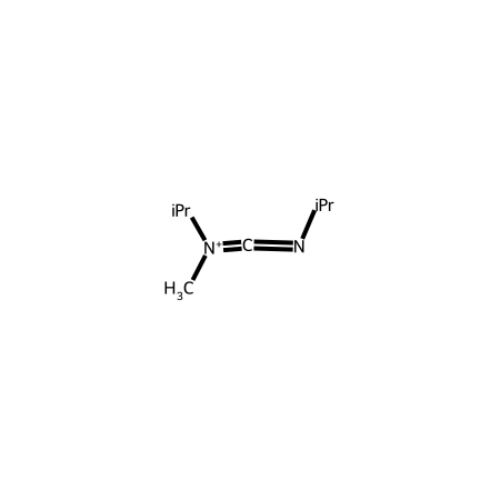 CC(C)N=C=[N+](C)C(C)C